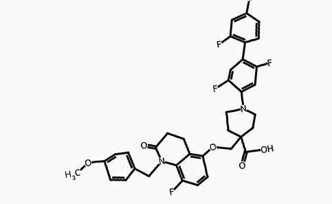 COc1ccc(CN2C(=O)CCc3c(OCC4(C(=O)O)CCN(c5cc(F)c(-c6ccc(Cl)cc6F)cc5F)CC4)ccc(F)c32)cc1